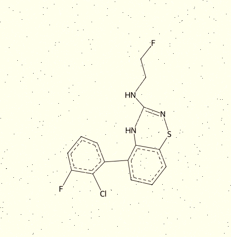 FCCNC1=NSc2cccc(-c3cccc(F)c3Cl)c2N1